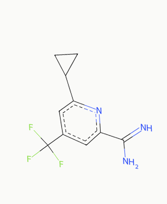 N=C(N)c1cc(C(F)(F)F)cc(C2CC2)n1